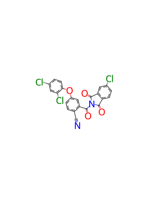 N#Cc1ccc(Oc2ccc(Cl)cc2Cl)cc1C(=O)N1C(=O)c2ccc(Cl)cc2C1=O